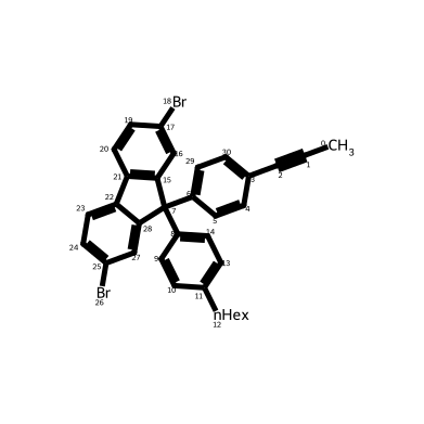 CC#Cc1ccc(C2(c3ccc(CCCCCC)cc3)c3cc(Br)ccc3-c3ccc(Br)cc32)cc1